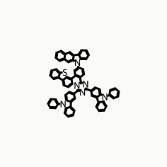 c1ccc(-n2c3ccccc3c3cc(-c4nc(-c5ccc6c(c5)c5ccccc5n6-c5ccccc5)nc(-c5ccc(-n6c7ccccc7c7cc8ccccc8cc76)cc5-c5cccc6c5sc5ccccc56)n4)ccc32)cc1